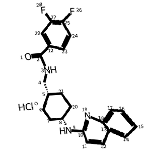 Cl.O=C(NC[C@H]1CC[C@@H](Nc2ccc3ccccc3n2)CC1)c1ccc(F)c(F)c1